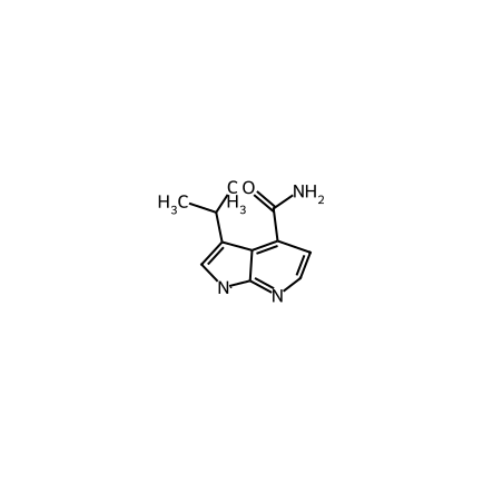 CC(C)C1=C[N]c2nccc(C(N)=O)c21